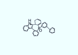 O=P1(c2cccc(-c3ccccc3)c2)C2=CC=CCC2c2[nH]c3ccccc3c2-c2ccccc21